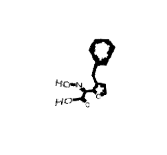 O=C(O)C(=NO)c1occc1Cc1ccccc1